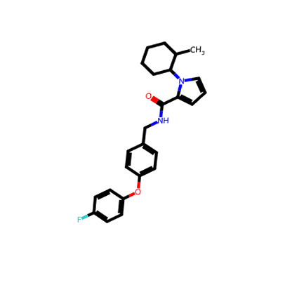 CC1CCCCC1n1cccc1C(=O)NCc1ccc(Oc2ccc(F)cc2)cc1